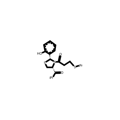 CC(C)SCCC(=O)N1[C@@H](c2ccccc2O)SC[C@H]1C(=O)C(C)C